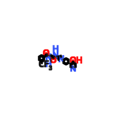 O=C(CNC(=O)c1cccc(C(F)(F)F)c1)NC1CN([C@H]2CC[C@@H](c3cnccc3O)CC2)C1